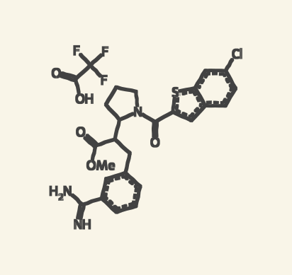 COC(=O)C(Cc1cccc(C(=N)N)c1)C1CCCN1C(=O)c1cc2ccc(Cl)cc2s1.O=C(O)C(F)(F)F